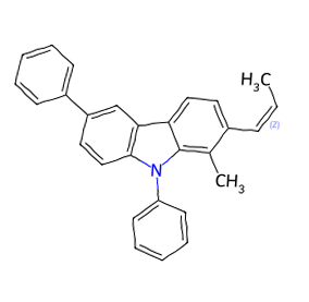 C/C=C\c1ccc2c3cc(-c4ccccc4)ccc3n(-c3ccccc3)c2c1C